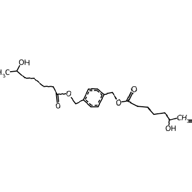 CC(O)CCCCC(=O)OCc1ccc(COC(=O)CCCCC(C)O)cc1